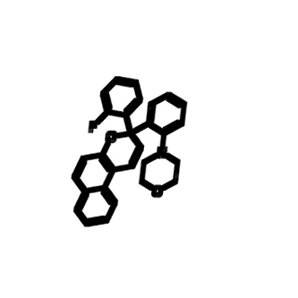 Fc1ccccc1C1(c2ccccc2N2CCOCC2)C=Cc2c(ccc3ccccc23)O1